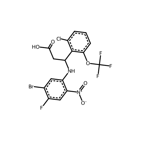 O=C(O)CC(Nc1cc(Br)c(F)cc1[N+](=O)[O-])c1c(Cl)cccc1OC(F)(F)F